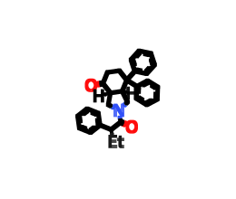 CC[C@H](C(=O)N1C[C@@H]2C(=O)CCC(c3ccccc3)(c3ccccc3)[C@@H]2C1)c1ccccc1